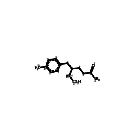 NC(=O)CCC(Cc1ccc(C(F)(F)F)cc1)NC(=O)O